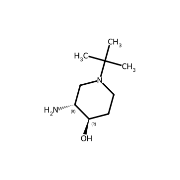 CC(C)(C)N1CC[C@@H](O)[C@H](N)C1